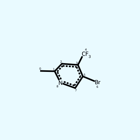 Cc1cc(C(F)(F)F)c(Br)cn1